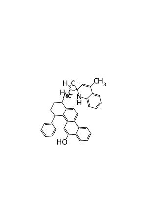 CC(=O)C1CCC(c2ccccc2)c2c1ccc1c2cc(O)c2ccccc21.CC1=CC(C)(C)Nc2ccccc21